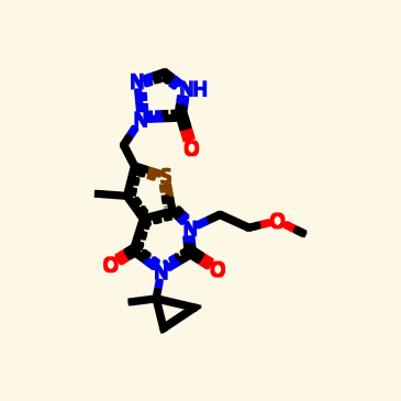 COCCn1c(=O)n(C2(C)CC2)c(=O)c2c(C)c(Cn3nc[nH]c3=O)sc21